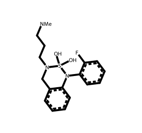 CNCCCN1Cc2ccccc2N(c2ccccc2F)S1(O)O